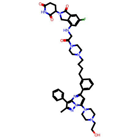 Cc1nn2c(N3CCN(CCO)CC3)cc(-c3cccc(CCCCN4CCN(C(=O)CNc5cc(F)cc6c5CN(C5CCC(=O)NC5=O)C6=O)CC4)c3)nc2c1-c1ccccc1